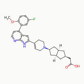 COc1ccc(F)cc1-c1ccnc2[nH]c(C3=CCN([C@H]4C[C@H]5C[C@@H](CC(=O)O)C[C@H]5C4)CC3)cc12